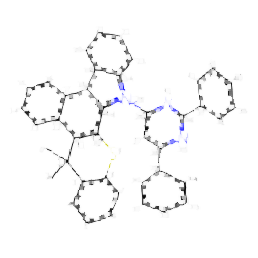 CC1(C)c2ccccc2Sc2c1c1ccccc1c1c3ccccc3n(-c3cc(-c4ccccc4)nc(-c4ccccc4)n3)c21